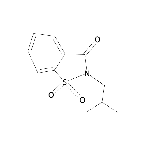 CC(C)CN1C(=O)c2ccccc2S1(=O)=O